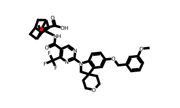 COc1cccc(COc2ccc3c(c2)C2(CCOCC2)CN3c2ncc(C(=O)NC3(C(=O)O)CC4CC5CC3CC54C)c(C(F)(F)F)n2)c1